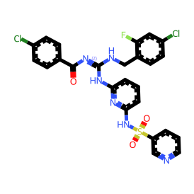 O=C(/N=C(/NCc1ccc(Cl)cc1F)Nc1cccc(NS(=O)(=O)c2cccnc2)n1)c1ccc(Cl)cc1